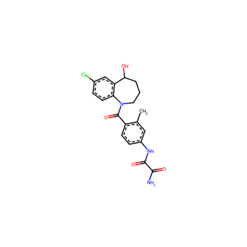 Cc1cc(NC(=O)C(N)=O)ccc1C(=O)N1CCCC(O)c2cc(Cl)ccc21